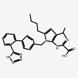 CCCCc1cc2c(n1Cc1ccc(-c3ccccc3-c3nnn[nH]3)cc1)NC(C(=O)O)=NC2C